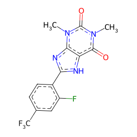 Cn1c(=O)c2[nH]c(-c3ccc(C(F)(F)F)cc3F)nc2n(C)c1=O